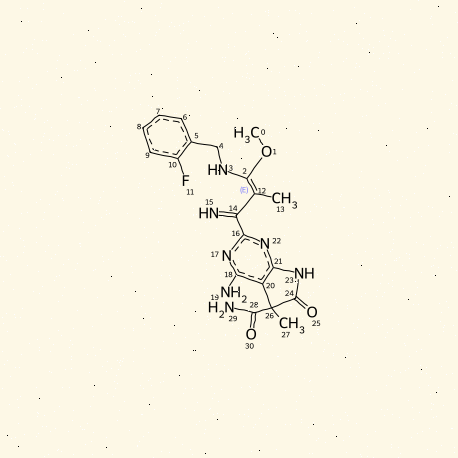 CO/C(NCc1ccccc1F)=C(\C)C(=N)c1nc(N)c2c(n1)NC(=O)C2(C)C(N)=O